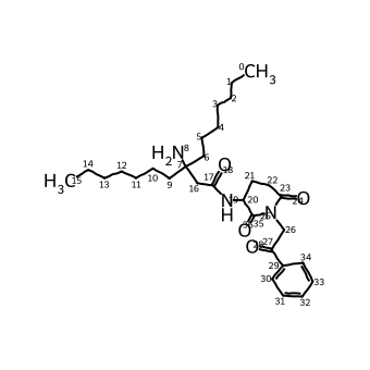 CCCCCCCC(N)(CCCCCCC)CC(=O)NC1CCC(=O)N(CC(=O)c2ccccc2)C1=O